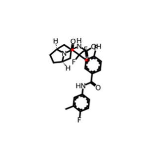 Cc1cc(NC(=O)c2ccc(F)c(C(F)(F)C(=O)N3[C@@H]4CC[C@H]3C[C@@H](NC(=O)O)C4)c2)ccc1F